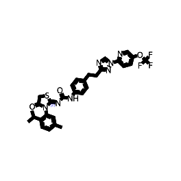 Cc1ccc(C(C)C)c(N2C(=O)CS/C2=N\C(=O)Nc2ccc(CCc3ncn(-c4ccc(OC(F)(F)F)cn4)n3)cc2)c1